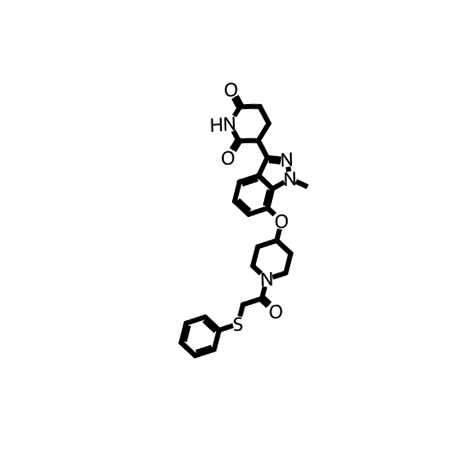 Cn1nc(C2CCC(=O)NC2=O)c2cccc(OC3CCN(C(=O)CSc4ccccc4)CC3)c21